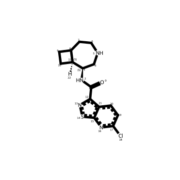 O=C(N[C@@H]1CNCCC2CC[C@@H]21)c1nsc2nc(Cl)ccc12